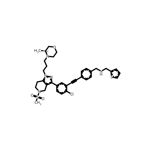 C[C@H]1COCCN1CCCn1nc(-c2ccc(Cl)c(C#Cc3ccc(CNCc4cccs4)cc3)c2)c2c1CCN(S(C)(=O)=O)C2